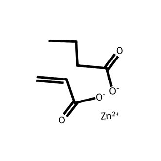 C=CC(=O)[O-].CCCC(=O)[O-].[Zn+2]